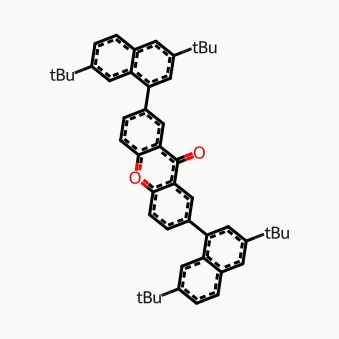 CC(C)(C)c1cc(-c2ccc3oc4ccc(-c5cc(C(C)(C)C)cc6ccc(C(C)(C)C)cc56)cc4c(=O)c3c2)c2cc(C(C)(C)C)ccc2c1